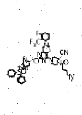 CN(C)C/C=C/C(=O)N1CCN(c2nc(OC[C@@H]3C[C@@H](O[Si](c4ccccc4)(c4ccccc4)C(C)(C)C)CN3C)nc3c2CCN(c2cccc(F)c2C(F)(F)F)C3)C[C@@H]1CC#N